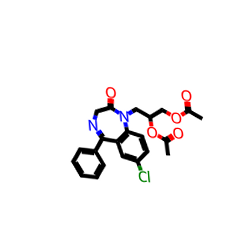 CC(=O)OCC(CN1C(=O)CN=C(c2ccccc2)c2cc(Cl)ccc21)OC(C)=O